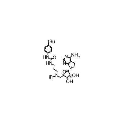 CC(C)N(CCCNC(=O)Nc1ccc(C(C)(C)C)cc1)C[C@H]1O[C@@H](N2CCc3c(N)ncnc32)[C@H](O)[C@@H]1O